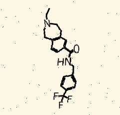 CCN1CCc2ccc(C(=O)NCc3ccc(C(F)(F)F)cc3)cc2CC1